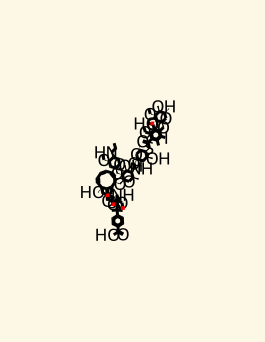 CCN[C@H]1CO[C@@H](O[C@H]2[C@H](O[C@H]3C#CC=CC#C[C@]4(O)CC(=O)C(NC(=O)OC)=C3/C4=C\CSSC(C)(C)c3ccc(C(=O)O)cc3)O[C@H](C)[C@@H](NO[C@H]3C[C@H](O)[C@H](SC(=O)c4c(C)c(I)c(O[C@@H]5O[C@@H](C)[C@H](O)[C@@H](OC)[C@H]5O)c(OC)c4OC)[C@@H](C)O3)[C@@H]2O)C[C@@H]1OC